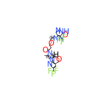 C[C@@H]1CN2c3ncc(C(F)(F)F)cc3COC[C@H]2CN1C(=O)CCOC[C@H](C)Nc1cn[nH]c(=O)c1C(F)(F)F